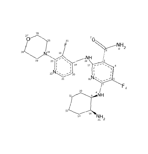 NC(=O)c1cc(F)c(N[C@@H]2CCCC[C@@H]2N)nc1Nc1ccnc(N2CCOCC2)c1F